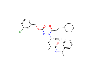 CC(C[C@@H](C(=O)O)N(NC(=O)OCc1cccc(Cl)c1)C(=O)CCC1CCCCC1)C(=O)NC(C)c1ccccc1